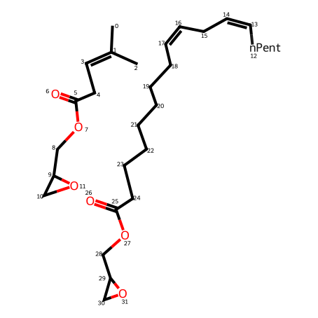 CC(C)=CCC(=O)OCC1CO1.CCCCC/C=C\C/C=C\CCCCCCCC(=O)OCC1CO1